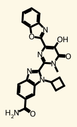 Cn1c(-c2nc3ccc(C(N)=O)cc3n2C2CCC2)nc(-c2nc3ccccc3o2)c(O)c1=O